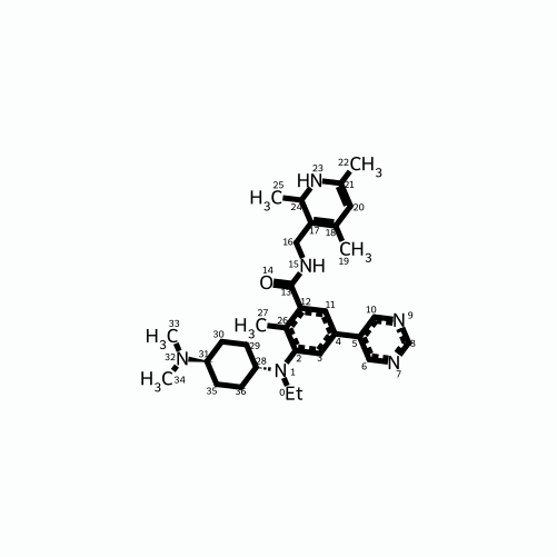 CCN(c1cc(-c2cncnc2)cc(C(=O)NCC2=C(C)C=C(C)NC2C)c1C)[C@H]1CC[C@H](N(C)C)CC1